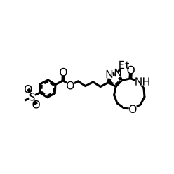 CCn1nc(CCCCOC(=O)c2ccc(S(C)(=O)=O)cc2)c2c1C(=O)NCCCOCCC2